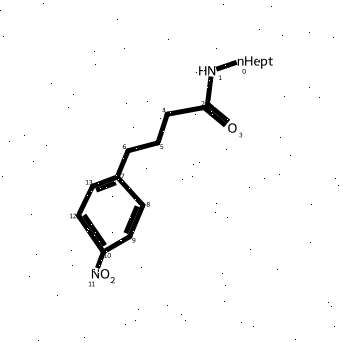 CCCCCCCNC(=O)CCCc1ccc([N+](=O)[O-])cc1